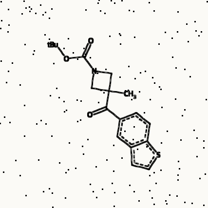 CC(C)(C)OC(=O)N1CC(C)(C(=O)c2ccc3sccc3c2)C1